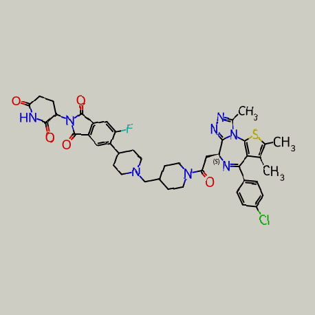 Cc1sc2c(c1C)C(c1ccc(Cl)cc1)=N[C@@H](CC(=O)N1CCC(CN3CCC(c4cc5c(cc4F)C(=O)N(C4CCC(=O)NC4=O)C5=O)CC3)CC1)c1nnc(C)n1-2